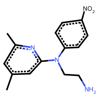 Cc1cc(C)nc(N(CCN)c2ccc([N+](=O)[O-])cc2)c1